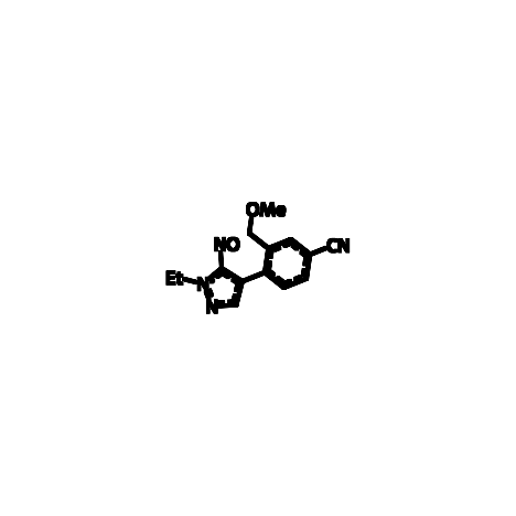 CCn1ncc(-c2ccc(C#N)cc2COC)c1N=O